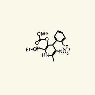 CCCC1=C(OC(=O)OC)C(c2ccccc2C(F)(F)F)C([N+](=O)[O-])=C(C)N1.CCO